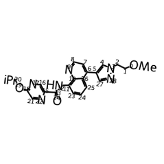 COCCn1cc(-c2ccnc3c(NC(=O)c4cnc(OC(C)C)cn4)cccc23)cn1